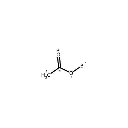 [B]OC(C)=O